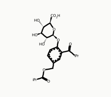 CC(C)C(=O)OCc1ccc(O[C@@H]2O[C@H](C(=O)O)[C@@H](O)[C@H](O)[C@H]2O)c(C(=O)C(C)C)c1